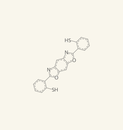 Sc1ccccc1-c1nc2cc3nc(-c4ccccc4S)oc3cc2o1